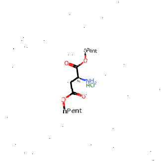 CCCCCOC(=O)C[C@H](N)C(=O)OCCCCC.Cl